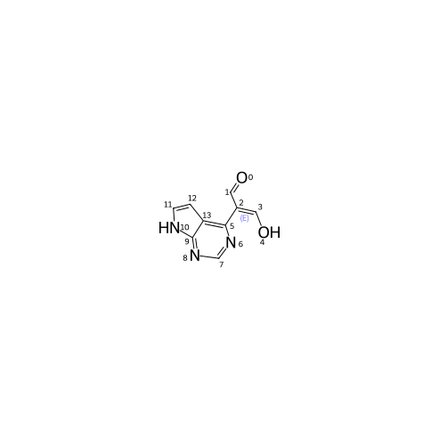 O=C/C(=C/O)c1ncnc2[nH]ccc12